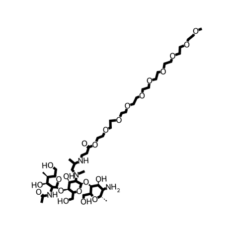 COCCOCCOCCOCCOCCOCCOCCOCCOCCOC(=O)CCNC(C)CN(C)C1[C@H](O[C@@H]2C(CO)O[C@@H](C)C(N)[C@H]2O)OC(CO)[C@@H](O[C@@H]2OC(CO)[C@H](C)[C@H](O)C2NC(C)=O)[C@@H]1O